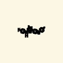 Cc1ccc(SN2CCN(c3nc(C)cc(Nc4ccc(F)cc4)n3)CC2)cc1